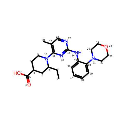 CCC1CC(C(=O)O)CCN1c1nc(Nc2ccccc2N2CCOCC2)ncc1C